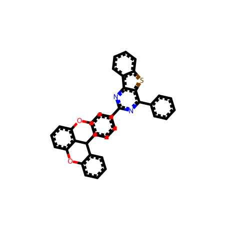 c1ccc(-c2nc(-c3ccc(C45c6ccccc6Oc6cccc(c64)OC4CCCCC45)cc3)nc3c2sc2ccccc23)cc1